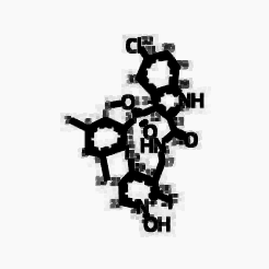 COP(=O)(c1cc(C)cc(C)c1)c1c(C(=O)NCc2c(F)cc[n+](O)c2F)[nH]c2ccc(Cl)cc12